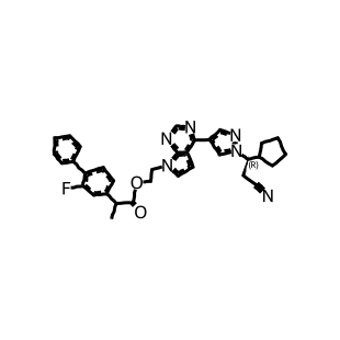 CC(C(=O)OCCn1ccc2c(-c3cnn([C@H](CC#N)C4CCCC4)c3)ncnc21)c1ccc(-c2ccccc2)c(F)c1